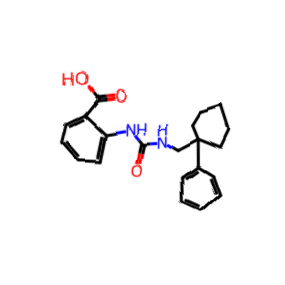 O=C(NCC1(c2ccccc2)CCCCC1)Nc1ccccc1C(=O)O